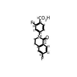 O=C(O)c1ccc(N2CCc3cc(F)ccc3C2=O)cc1F